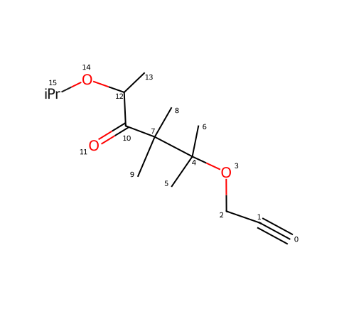 C#CCOC(C)(C)C(C)(C)C(=O)C(C)OC(C)C